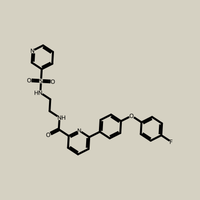 O=C(NCCNS(=O)(=O)c1cccnc1)c1cccc(-c2ccc(Oc3ccc(F)cc3)cc2)n1